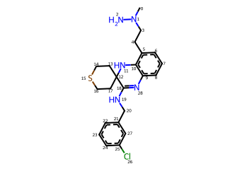 CN(N)CCc1cccc2c1NC1(CCSCC1)C(NCc1cccc(Cl)c1)=N2